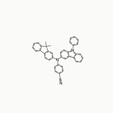 CC1(C)c2ccccc2-c2ccc(N(c3ccc(C#N)cc3)c3ccc4c(c3)c3ccccc3n4-c3ccccc3)cc21